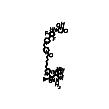 CC(C)(C)n1nc(-c2noc(C3CC3)c2-c2ncc(CCCCCC(=O)N3CCC(CN4CCC(c5c(F)cc(NC6CCC(=O)NC6=O)cc5F)CC4)CC3)cn2)c2c(N)ncnc21